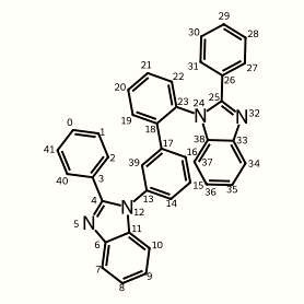 c1ccc(-c2nc3ccccc3n2-c2cccc(-c3ccccc3-n3c(-c4ccccc4)nc4ccccc43)c2)cc1